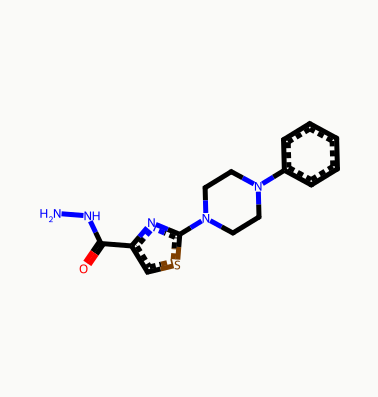 NNC(=O)c1csc(N2CCN(c3ccccc3)CC2)n1